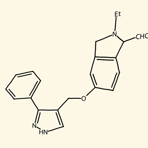 CCN1Cc2cc(OCc3c[nH]nc3-c3ccccc3)ccc2C1C=O